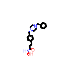 O=C(C=Cc1ccc(CN2CCN(Cc3ccccc3)CC2)cc1)NO